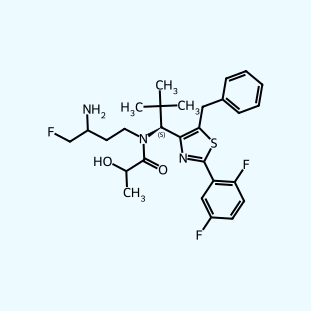 CC(O)C(=O)N(CCC(N)CF)[C@H](c1nc(-c2cc(F)ccc2F)sc1Cc1ccccc1)C(C)(C)C